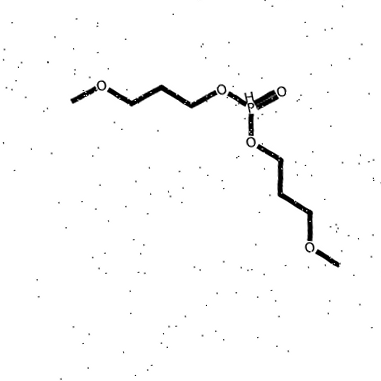 COCCCO[PH](=O)OCCCOC